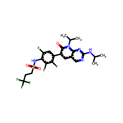 CC(C)Nc1ncc2cc(-c3cc(F)c(NS(=O)(=O)CCC(F)(F)F)c(F)c3F)c(=O)n(C(C)C)c2n1